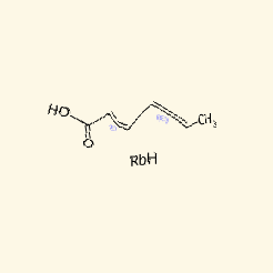 C/C=C/C=C/C(=O)O.[RbH]